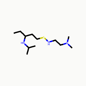 CCC(CCSNCCN(C)C)NC(C)C